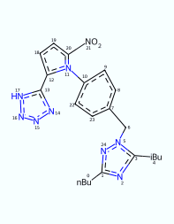 CCCCc1nc(C(C)CC)n(Cc2ccc(-n3c(-c4nnn[nH]4)ccc3[N+](=O)[O-])cc2)n1